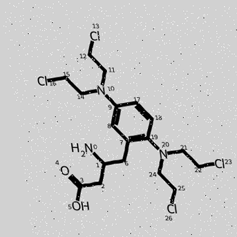 NC(CC(=O)O)Cc1cc(N(CCCl)CCCl)ccc1N(CCCl)CCCl